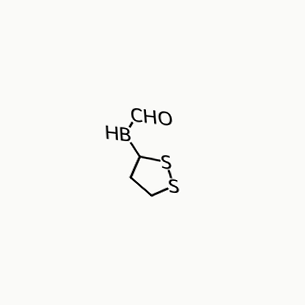 O=CBC1CCSS1